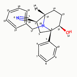 N#C[C@@H]1C[C@@]2(c3ccccc3)[C@H](O)CC[C@@H]1N2Cc1ccccc1